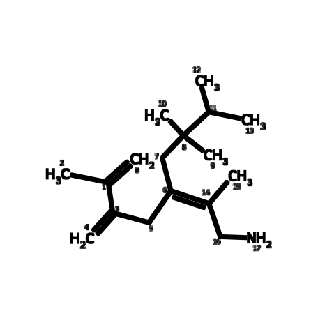 C=C(C)C(=C)C/C(CC(C)(C)C(C)C)=C(/C)CN